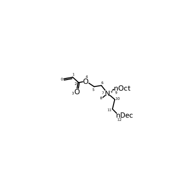 C=CC(=O)OCC[N+](C)(CCCCCCCC)CCCCCCCCCCCC